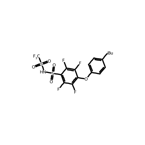 CCC(C)c1ccc(Oc2c(F)c(F)c(S(=O)(=O)NS(=O)(=O)C(F)(F)F)c(F)c2F)cc1